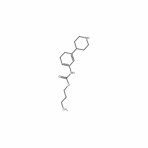 CCCCOC(=O)NC1=CCCC(C2CCNCC2)=C1